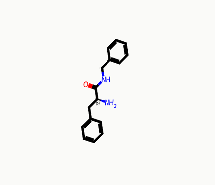 N[C@@H](Cc1ccccc1)C(=O)N[CH]c1ccccc1